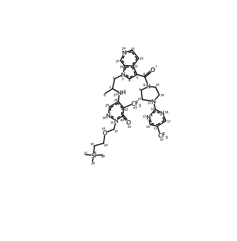 CC(Cn1cc(C(=O)N2CCN(c3ncc(C(F)(F)F)cn3)CC2)c2ccncc21)Nc1cnn(COCC[Si](C)(C)C)c(=O)c1C(F)(F)F